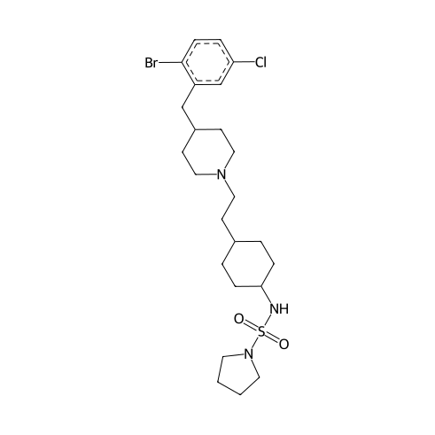 O=S(=O)(NC1CCC(CCN2CCC(Cc3cc(Cl)ccc3Br)CC2)CC1)N1CCCC1